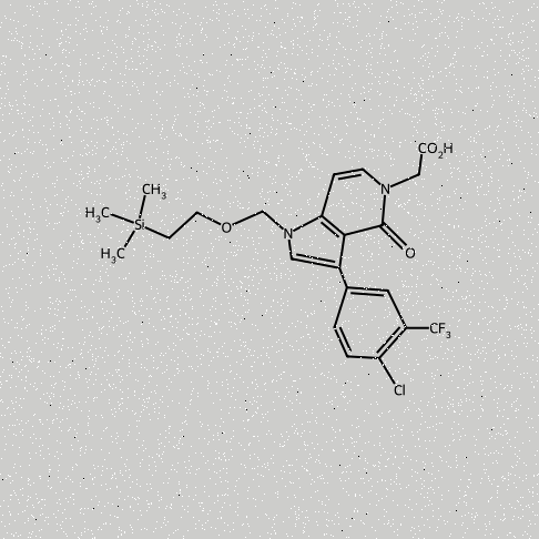 C[Si](C)(C)CCOCn1cc(-c2ccc(Cl)c(C(F)(F)F)c2)c2c(=O)n(CC(=O)O)ccc21